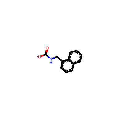 [O]C(=O)NCc1cccc2ccccc12